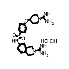 Cl.Cl.N=C(N)N1CCC(Oc2ccc(S(=O)(=O)Nc3ccc4c(c3)CN(C(=N)N)CC4)cc2)CC1